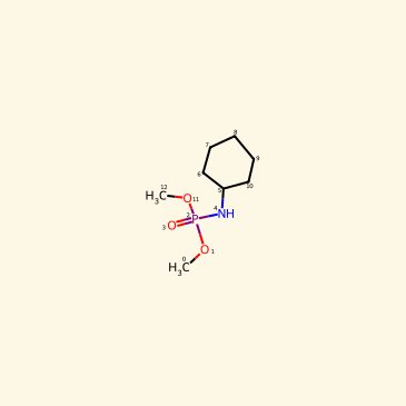 COP(=O)(NC1CCCCC1)OC